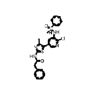 Cc1nc(NC(=O)Cc2ccccc2)sc1-c1cnc(Cl)c(N[SH](C)(=O)c2ccccc2)c1